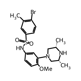 COc1ccc(NS(=O)(=O)c2ccc(Br)c(C)c2)cc1N1C[C@@H](C)N[C@@H](C)C1